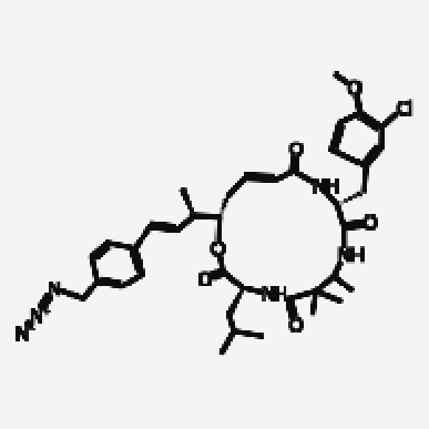 COc1ccc(C[C@H]2NC(=O)/C=C/C[C@@H]([C@H](C)/C=C/c3ccc(CN=[N+]=[N-])cc3)OC(=O)[C@H](CC(C)C)NC(=O)C(C)(C)C(C)NC2=O)cc1Cl